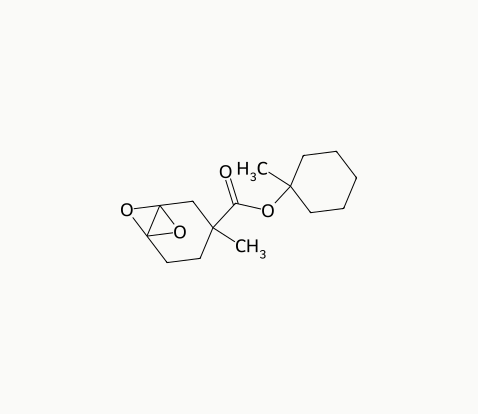 CC1(OC(=O)C2(C)CCC34OC3(C2)O4)CCCCC1